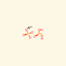 O=P([O-])([O-])[O-].O=[PH](O)O.[Al+3]